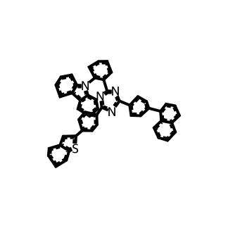 c1ccc(-n2c3ccccc3c3ccccc32)c(-c2nc(-c3ccc(-c4cc5ccccc5s4)cc3)nc(-c3ccc(-c4cccc5ccccc45)cc3)n2)c1